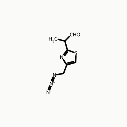 CC(C=O)c1nc(CN=[N+]=[N-])cs1